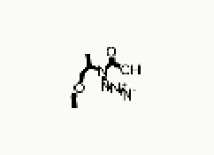 CCOCC(C)N(N=[N+]=[N-])C(=O)O